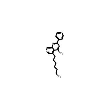 NCCCCCCc1cncc2nc(-c3ccncc3)nc(N)c12